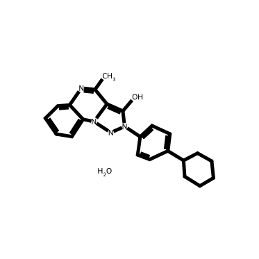 CC1=Nc2ccccc2N2[N]N(c3ccc(C4CCCCC4)cc3)C(O)=C12.O